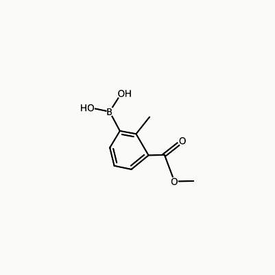 COC(=O)c1cccc(B(O)O)c1C